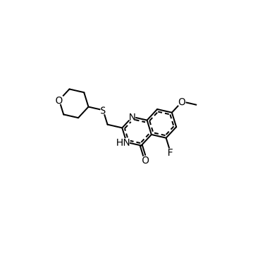 COc1cc(F)c2c(=O)[nH]c(CSC3CCOCC3)nc2c1